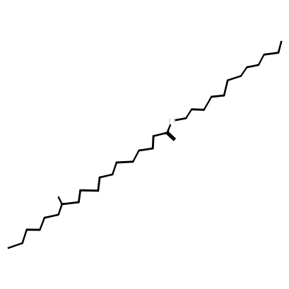 CCCCCCCCCCCCNC(=O)CCCCCCCCCCC(O)CCCCCC